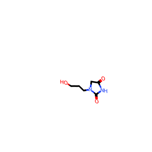 O=C1CN(CCCO)C(=O)N1